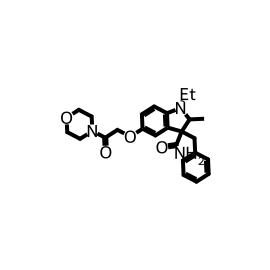 CCN1c2ccc(OCC(=O)N3CCOCC3)cc2C(Cc2ccccc2)(C(N)=O)C1C